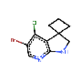 Clc1c(Br)cnc2c1C1(CCC1)CN2